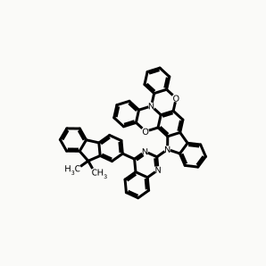 CC1(C)c2ccccc2-c2ccc(-c3nc(-n4c5ccccc5c5cc6c7c(c54)Oc4ccccc4N7c4ccccc4O6)nc4ccccc34)cc21